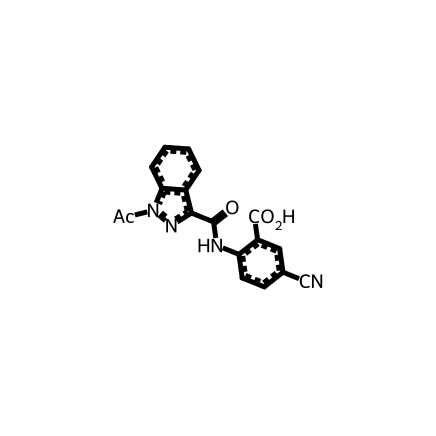 CC(=O)n1nc(C(=O)Nc2ccc(C#N)cc2C(=O)O)c2ccccc21